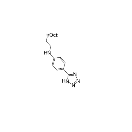 CCCCCCCCCCNc1ccc(-c2nnn[nH]2)cc1